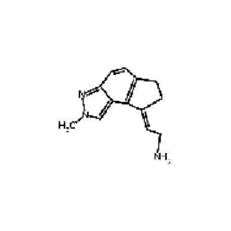 Cn1cc2c3c(ccc2n1)CCC3=CCN